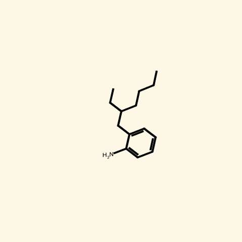 CCCCC(CC)Cc1ccccc1N